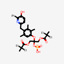 CCC(C)(CC)C(=O)OCC(COC(=O)C(C)(CC)CC)(Oc1cc(C)c(Cc2ccc(O)c(C(C)C)n2)c(C)c1C)O[PH](=O)O